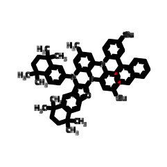 Cc1cc2c3c(c1)N(c1ccc4c(c1)C(C)(C)CCC4(C)C)c1c(oc4cc5c(cc14)C(C)(C)CCC5(C)C)B3c1cc(C(C)(C)C)ccc1N2c1ccc(C(C)(C)C)cc1-c1cccc2ccccc12